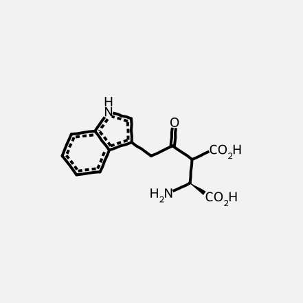 N[C@H](C(=O)O)C(C(=O)O)C(=O)Cc1c[nH]c2ccccc12